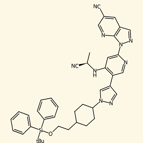 C[C@H](C#N)Nc1cc(-n2ncc3cc(C#N)cnc32)ncc1-c1cnn(C2CCC(CCO[Si](c3ccccc3)(c3ccccc3)C(C)(C)C)CC2)c1